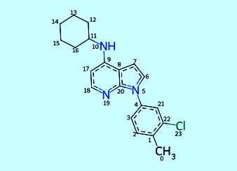 Cc1ccc(-n2ccc3c(NC4CCCCC4)ccnc32)cc1Cl